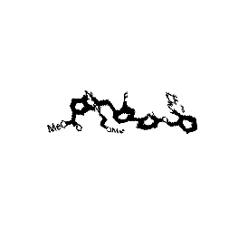 COCCn1c(Cc2ccc(-c3cccc(OCc4ccccc4SC(F)(F)F)n3)cc2F)nc2ccc(C(=O)OC)cc21